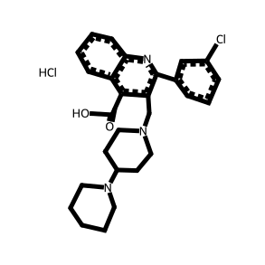 Cl.O=C(O)c1c(CN2CCC(N3CCCCC3)CC2)c(-c2cccc(Cl)c2)nc2ccccc12